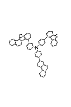 c1cc(-c2cccc3oc4c5ccccc5ccc4c23)cc(N(c2ccc(-c3ccc4c(ccc5ccccc54)c3)cc2)c2ccc(-c3cccc4sc5ccccc5c34)cc2)c1